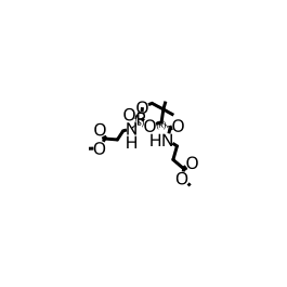 COC(=O)CCNC(=O)[C@@H]1O[P@](=O)(NCCC(=O)OC)OCC1(C)C